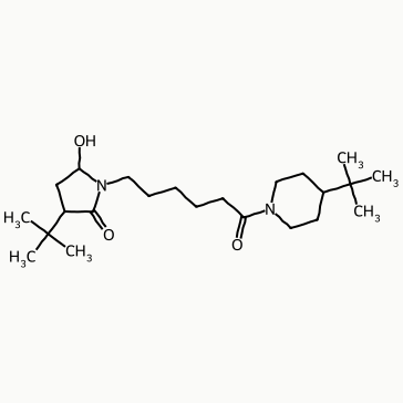 CC(C)(C)C1CCN(C(=O)CCCCCN2C(=O)C(C(C)(C)C)CC2O)CC1